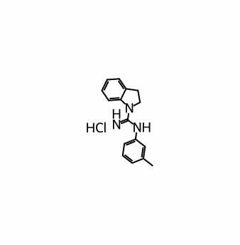 Cc1cccc(NC(=N)N2CCc3ccccc32)c1.Cl